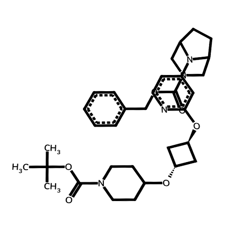 CC(C)(C)OC(=O)N1CCC(O[C@H]2C[C@H](Oc3cc(N4C5CCC4CN(C(=O)OCc4ccccc4)C5)ccn3)C2)CC1